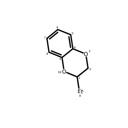 C[CH]C1COc2ccccc2O1